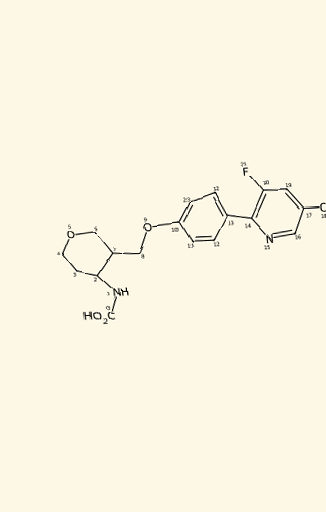 O=C(O)NC1CCOCC1COc1ccc(-c2ncc(Cl)cc2F)cc1